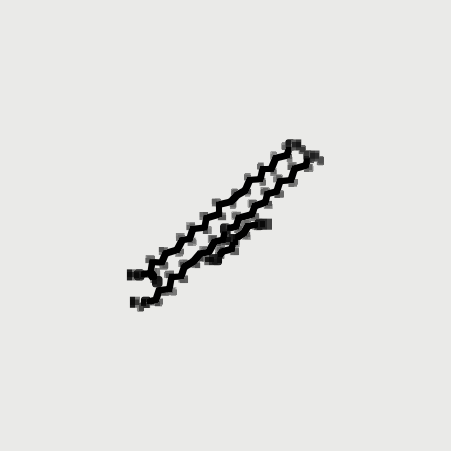 CCCCCCCCCCCCCCCCCCCCCC(=O)O.CCCCCCCCCCCCOCCCCCCCCCCCC.OCCNCCO